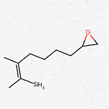 CC([SiH3])=C(C)CCCCC1CO1